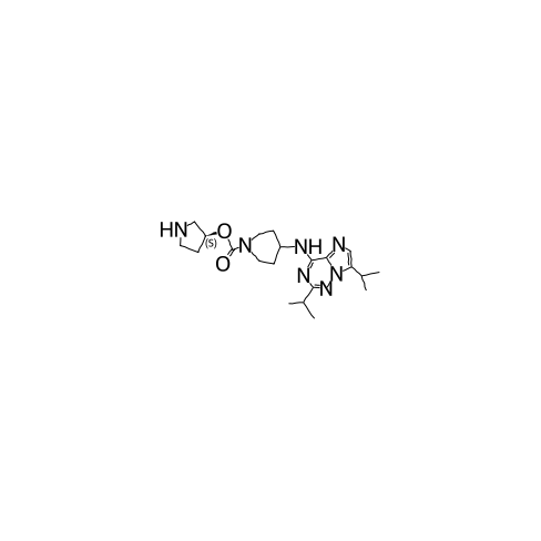 CC(C)c1nc(NC2CCN(C(=O)O[C@H]3CCNC3)CC2)c2ncc(C(C)C)n2n1